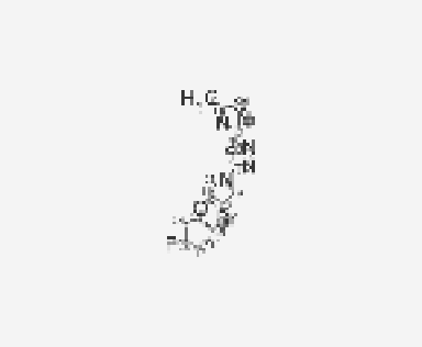 Cc1nc(-c2nnc(N3CC[C@H](Oc4cc(F)ccc4Br)C3)s2)no1